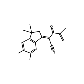 C=C(C)C(=O)/C(C#N)=C1\CC(C)(C)c2cc(C)c(C)cc21